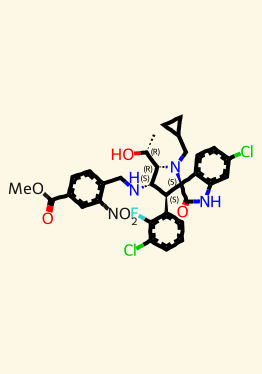 COC(=O)c1ccc(CN[C@@H]2[C@H]([C@@H](C)O)N(CC3CC3)[C@@]3(C(=O)Nc4cc(Cl)ccc43)[C@H]2c2cccc(Cl)c2F)c([N+](=O)[O-])c1